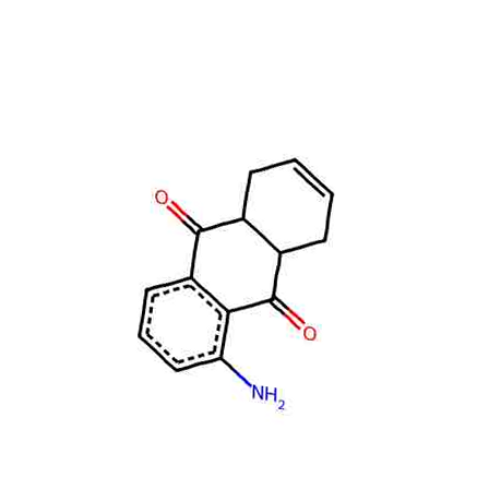 Nc1cccc2c1C(=O)C1CC=CCC1C2=O